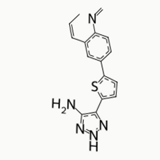 C=Nc1ccc(-c2ccc(-c3n[nH]nc3N)s2)cc1/C=C\C